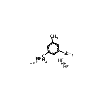 Cc1cc(C)c[c]([SbH2])c1.F.F.F.F.F.F